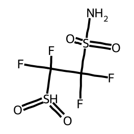 NS(=O)(=O)C(F)(F)C(F)(F)[SH](=O)=O